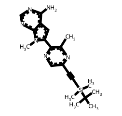 Cc1nc(C#C[Si](C)(C)C(C)(C)C)cnc1-c1cc2c(N)ncnc2n1C